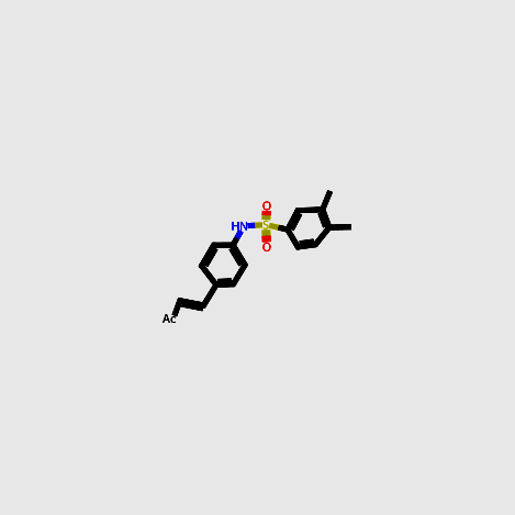 CC(=O)/C=C/c1ccc(NS(=O)(=O)c2ccc(C)c(C)c2)cc1